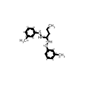 CCCC(POc1cccc(C)c1)POc1cccc(C)c1